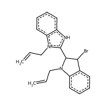 C=CCN1c2ccccc2C(Br)C1c1[nH]c2ccccc2[n+]1CC=C